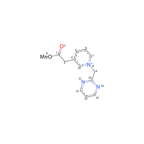 COC(=O)Cc1ccc[n+](Cc2ncccn2)c1